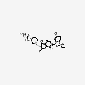 CCS(=O)(=O)c1ccc(Cl)cc1Cn1cnc2c(Cl)c(CN3CCC[C@H](NC(=O)CNC)C3)c(F)cc2c1=O